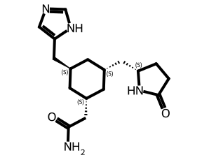 NC(=O)C[C@@H]1C[C@@H](Cc2cnc[nH]2)C[C@H](C[C@@H]2CCC(=O)N2)C1